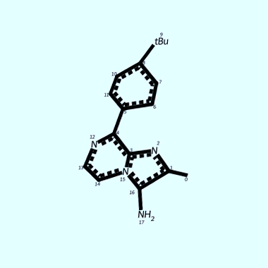 Cc1nc2c(-c3ccc(C(C)(C)C)cc3)nccn2c1N